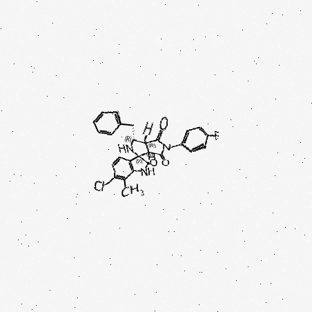 Cc1c(Cl)ccc2c1NC(=O)[C@]21N[C@H](Cc2ccccc2)[C@@H]2C(=O)N(c3ccc(F)cc3)C(=O)[C@@H]21